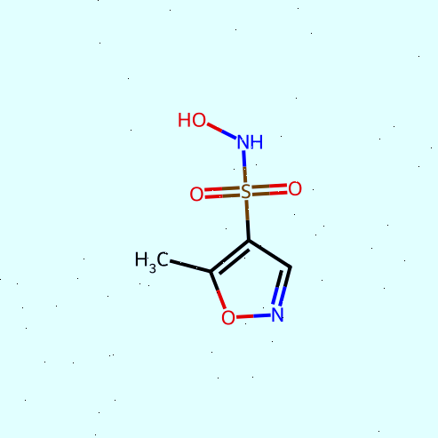 Cc1oncc1S(=O)(=O)NO